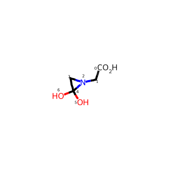 O=C(O)CN1CC1(O)O